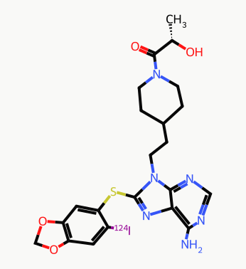 C[C@H](O)C(=O)N1CCC(CCn2c(Sc3cc4c(cc3[124I])OCO4)nc3c(N)ncnc32)CC1